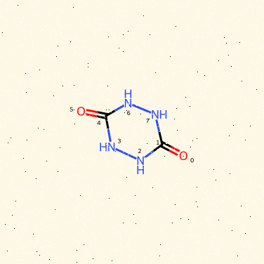 O=C1NNC(=O)NN1